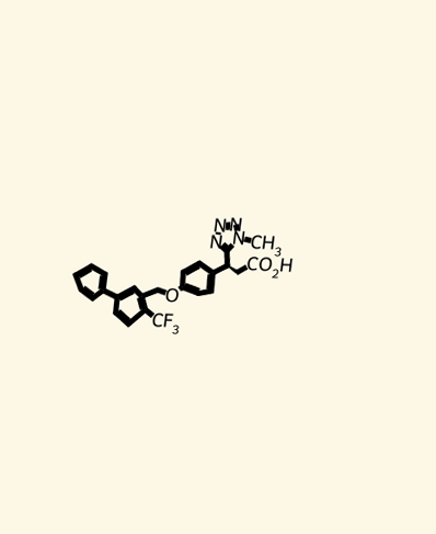 Cn1nnnc1[C@@H](CC(=O)O)c1ccc(OCc2cc(-c3ccccc3)ccc2C(F)(F)F)cc1